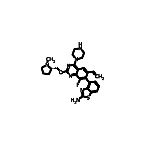 C=Cc1cc2c(N3CCNCC3)nc(OC[C@@H]3CCCN3C)nc2c(F)c1-c1cccc2sc(N)nc12